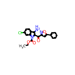 CCOC(=O)n1c(C(=O)c2cc(-c3ccccc3)on2)c(N)c2ccc(Cl)cc21